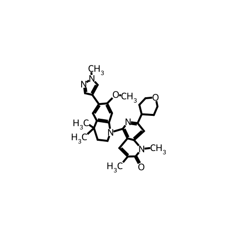 COc1cc2c(cc1-c1cnn(C)c1)C(C)(C)CCN2c1nc(C2CCOCC2)cc2c1cc(C)c(=O)n2C